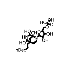 CCCCCCCCCCCCC12C=CN(C3OC(COP(=O)(O)O)C(O)C3O)C(C)(C1)C(O)NC2O